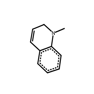 CN1CC=Cc2ccccc21